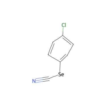 N#C[Se]c1ccc(Cl)cc1